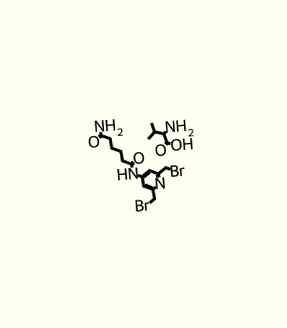 CC(C)C(N)C(=O)O.NC(=O)CCCCC(=O)Nc1cc(CBr)nc(CBr)c1